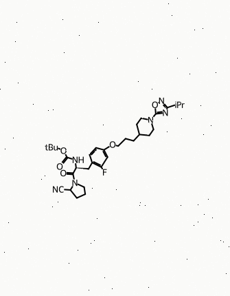 CC(C)c1noc(N2CCC(CCCOc3ccc(C[C@H](NC(=O)OC(C)(C)C)C(=O)N4CCCC4C#N)c(F)c3)CC2)n1